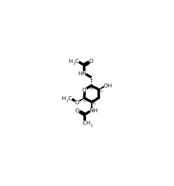 CO[C@H]1O[C@H](CNC(C)=O)[C@@H](O)C[C@H]1NC(C)=O